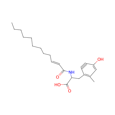 CCCCCCCCCC=CC(=O)NC(Cc1c#cc(O)cc1C)C(=O)O